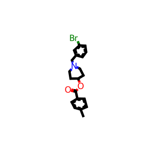 Cc1ccc(C(=O)OC2CCN(Cc3cccc(Br)c3)CC2)cc1